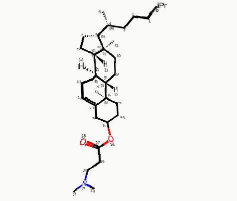 CC(C)CCC[C@@H](C)[C@H]1CC[C@H]2[C@@H]3CC=C4CC(OC(=O)CCN(C)C)CC[C@]4(C)[C@H]3CC[C@]12C